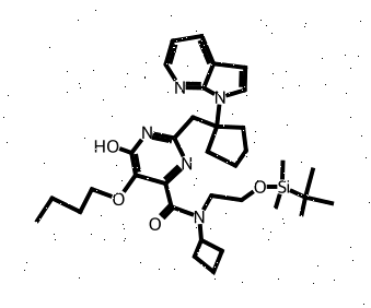 CCCCOc1c(O)nc(CC2(n3ccc4cccnc43)CCCC2)nc1C(=O)N(CCO[Si](C)(C)C(C)(C)C)C1CCC1